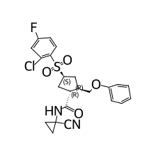 N#CC1(NC(=O)[C@@H]2C[C@@H](S(=O)(=O)c3ccc(F)cc3Cl)C[C@H]2COc2ccccc2)CC1